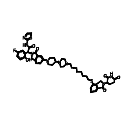 O=C1CCC(N2Cc3c(SCCCCCCCCN4CCN(C5CCN(c6ccc7c(c6)C(=O)N(C(C(=O)Nc6nccs6)c6cc(F)ccc6O)C7)CC5)CC4)cccc3C2=O)C(=O)N1